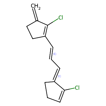 C=C1CCC(/C=C/C=C2\CCC=C2Cl)=C1Cl